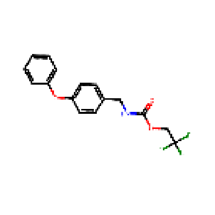 O=C(NCc1ccc(Oc2ccccc2)cc1)OCC(F)(F)F